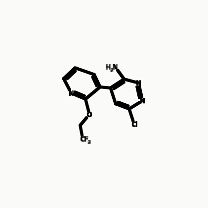 Nc1nnc(Cl)cc1-c1cccnc1OCC(F)(F)F